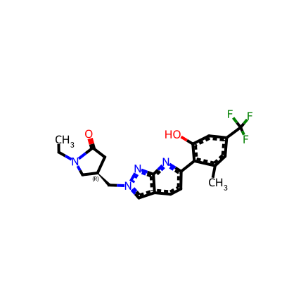 CCN1C[C@H](Cn2cc3ccc(-c4c(C)cc(C(F)(F)F)cc4O)nc3n2)CC1=O